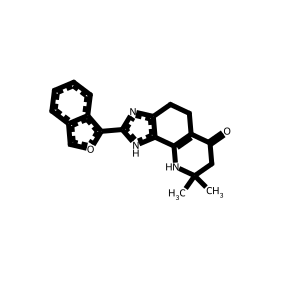 CC1(C)CC(=O)C2=C(N1)c1[nH]c(-c3occ4ccccc34)nc1CC2